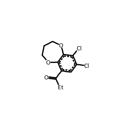 CCC(=O)c1cc(Cl)c(Cl)c2c1OCCCO2